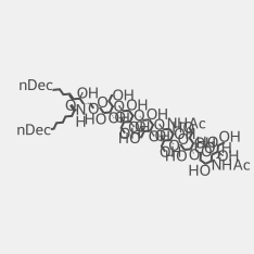 CCCCCCCCCCCCC/C=C/[C@@H](O)[C@H](CO[C@@H]1OC(CO)[C@@H](O[C@@H]2OC(CO)[C@H](O)[C@H](O[C@H]3OC(CO)[C@H](O)[C@H](O[C@@H]4OC(CO)[C@@H](O[C@@H]5OC(CO)[C@H](O)[C@H](O[C@]6(C(=O)O)CC(O)[C@@H](NC(C)=O)C([C@H](O)[C@H](O)CO)O6)C5O)[C@H](O)C4NC(C)=O)C3O)C2O)[C@H](O)C1O)NC(=O)CCCCCCCCCCCCCCC